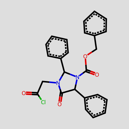 O=C(Cl)CN1C(=O)C(c2ccccc2)N(C(=O)OCc2ccccc2)C1c1ccccc1